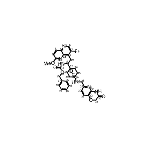 COc1ccc2ncc(F)c(CC(NC(=O)OCc3ccccc3)C34CCC(NCc5ccc6c(n5)NC(=O)CO6)(CC3)CO4)c2n1